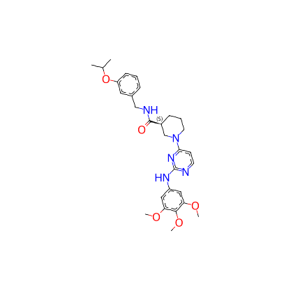 COc1cc(Nc2nccc(N3CCC[C@H](C(=O)NCc4cccc(OC(C)C)c4)C3)n2)cc(OC)c1OC